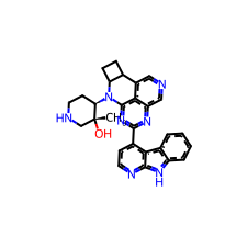 C[C@@]1(O)CNCC[C@H]1N1c2nc(-c3ccnc4[nH]c5ccccc5c34)nc3cncc(c23)C2CCC21